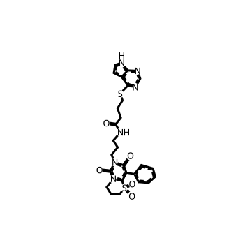 O=C(CCCSc1ncnc2[nH]ccc12)NCCCn1c(=O)c(-c2ccccc2)c2n(c1=O)CCCS2(=O)=O